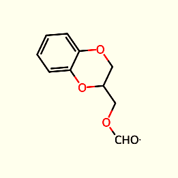 O=[C]OCC1COc2ccccc2O1